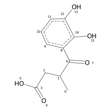 CC(CC(=O)O)C(=O)c1cccc(O)c1O